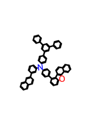 c1ccc(-c2cc(-c3ccccc3)cc(-c3ccc(N(c4ccc(-c5cccc6oc7c8ccccc8ccc7c56)cc4)c4cccc(-c5ccc6ccccc6c5)c4)cc3)c2)cc1